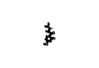 COc1ccc(C(=O)/C(C)=C/N(C)C)c(C)c1